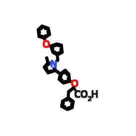 Cc1ccc(-c2ccc(O[C@H](Cc3ccccc3)C(=O)O)cc2)n1Cc1cccc(Oc2ccccc2)c1